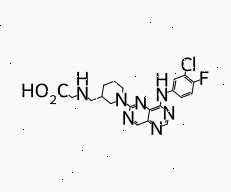 O=C(O)CNCC1CCCN(c2ncc3ncnc(Nc4ccc(F)c(Cl)c4)c3n2)C1